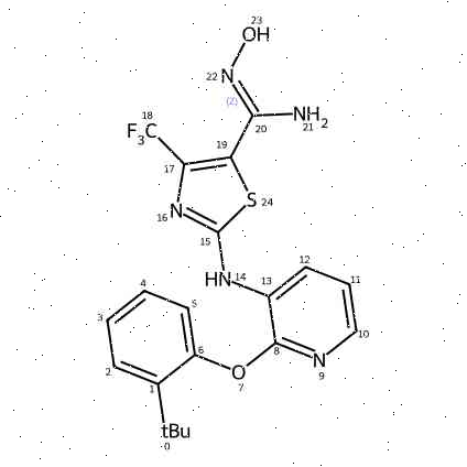 CC(C)(C)c1ccccc1Oc1ncccc1Nc1nc(C(F)(F)F)c(/C(N)=N/O)s1